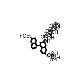 CCCCCCCCc1ccc2c(-c3[c]ccc4cc(CCCCCCCC)ccc34)[c]ccc2c1.O=P(O)(O)O.O=P(O)(O)O.O=P(O)(O)O.O=P(O)(O)O